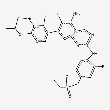 CCS(=O)(=O)Cc1ccc(Nc2ncc3c(N)c(F)c(-c4cnc5c(c4C)NCC(C)O5)cc3n2)c(F)c1